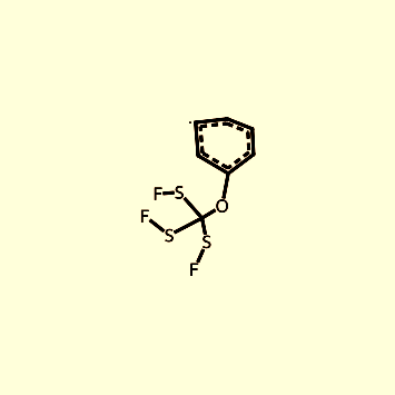 FSC(Oc1c[c]ccc1)(SF)SF